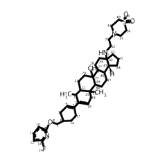 CC1C(C2=CCC(COc3cccc(F)n3)CC2)=CCC2(C)C1CCC1(C)C3CCC4(NCCN5CCS(=O)(=O)CC5)CCC[C@@H]4C3CCC21